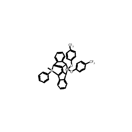 CC1=C2c3ccccc3[CH]1[Zr]([O]c1ccc(C(F)(F)F)cc1)([O]c1ccc(C(F)(F)F)cc1)[CH]1C(C)=C(c3ccccc31)[Si]2(C)c1ccccc1